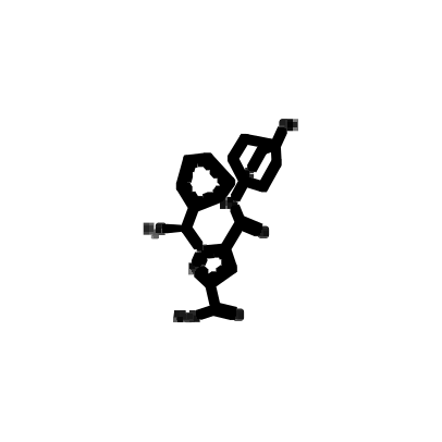 CNC(=O)c1cc(C(=O)NC23CCC(O)(CC2)CC3)n([C@@H](C)c2ccccc2)n1